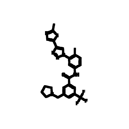 Cc1ncc(-c2cn(-c3cc(NC(=O)c4cc(CN5CCCC5)cc(C(F)(F)F)c4)ccc3C)nn2)s1